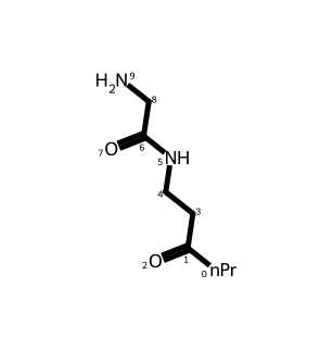 CCCC(=O)CCNC(=O)CN